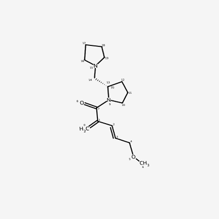 C=C(C=CCOC)C(=O)N1CCC[C@H]1CN1CCCC1